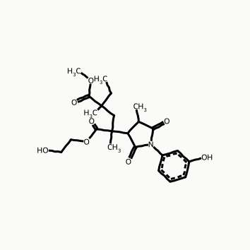 CCC(C)(CC(C)(C(=O)OCCO)C1C(=O)N(c2cccc(O)c2)C(=O)C1C)C(=O)OC